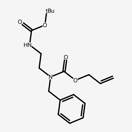 C=CCOC(=O)N(CCNC(=O)OC(C)(C)C)Cc1ccccc1